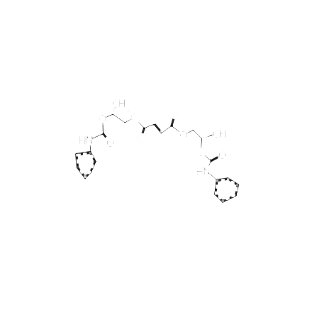 C[C@H](COC(=O)/C=C/C(=O)OC[C@@H](C)OC(=O)Nc1ccccc1)OC(=O)Nc1ccccc1